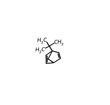 CC(C)(C)C12C=CC(C=C1)C2